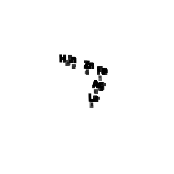 [Ag].[Fe].[InH3].[La].[Zn]